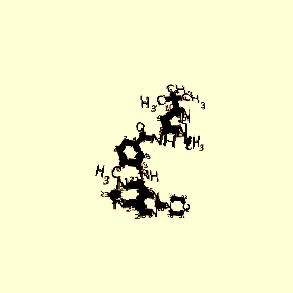 Cc1ccc(C(=O)Nc2cc(C(C)(C)C)nn2C)cc1Nc1ncnc2cnc(N3CCOCC3)nc12